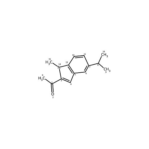 CC(=O)c1cc2cc(C(C)C)ccc2n1C